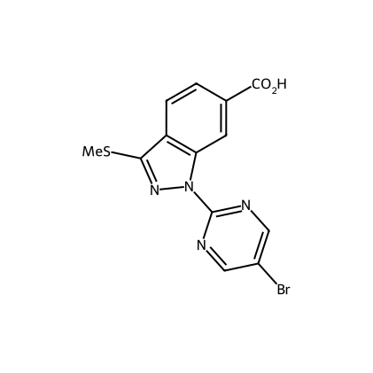 CSc1nn(-c2ncc(Br)cn2)c2cc(C(=O)O)ccc12